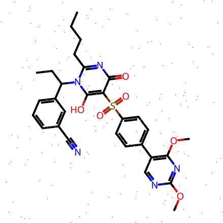 CCCCc1nc(=O)c(S(=O)(=O)c2ccc(-c3cnc(OC)nc3OC)cc2)c(O)n1C(CC)c1cccc(C#N)c1